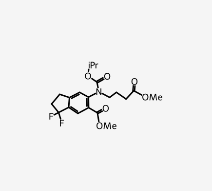 COC(=O)CCCN(C(=O)OC(C)C)c1cc2c(cc1C(=O)OC)C(F)(F)CC2